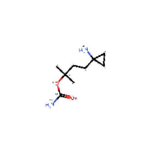 CC(C)(CCC1(N)CC1)OC(N)=O